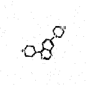 c1nc(C2CCNCC2)c2ccc(N3CCNCC3)cc2n1